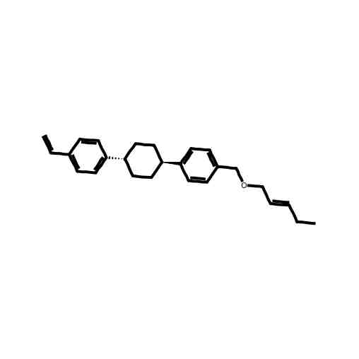 C=Cc1ccc([C@H]2CC[C@H](c3ccc(COCC=CCC)cc3)CC2)cc1